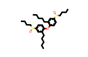 CCCCCc1cc([S+]([O-])CCCC)ccc1Oc1ccc([S+]([O-])CCCC)cc1CCCCC